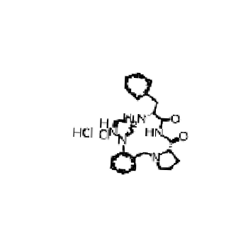 Cl.Cl.N[C@H](Cc1ccccc1)C(=O)NC(=O)[C@@H]1CCCN1Cc1ccccc1-n1cncn1